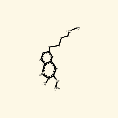 CCCCNc1cc2cc(CCCCNC(C)C)ccc2nc1N